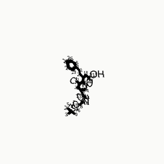 CC(C)(C)[Si](C)(C)OCc1nnc(-c2cnc(/C(=C\C(=O)O)CCc3ccccc3)c(Cl)c2)o1